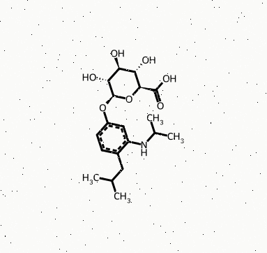 CC(C)Cc1ccc(O[C@@H]2O[C@H](C(=O)O)[C@@H](O)[C@H](O)[C@H]2O)cc1NC(C)C